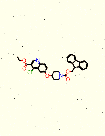 CCOC(=O)c1cnc2ccc(OC3CCN(C(=O)OCC4c5ccccc5-c5ccccc54)CC3)cc2c1Cl